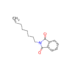 C=CCCCCCCN1C(=O)c2ccccc2C1=O